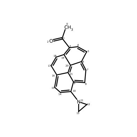 CC(=O)c1ccc2ccc3c(N4CC4)ccc4ccc1c2c43